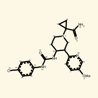 COc1ccc(C2CN(C3(C(N)=O)CC3)CCC2NC(=O)Nc2ccc(Cl)cc2)nc1